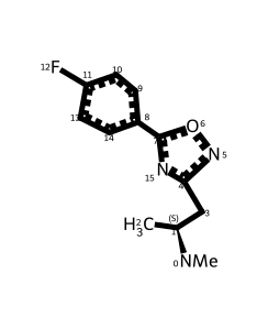 CN[C@@H](C)Cc1noc(-c2ccc(F)cc2)n1